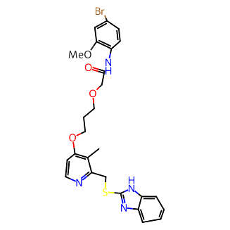 COc1cc(Br)ccc1NC(=O)COCCCOc1ccnc(CSc2nc3ccccc3[nH]2)c1C